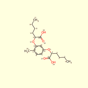 CCCCC(Oc1ccc(C)c(OC(CCCC)C(=O)O)c1)C(=O)O